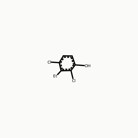 CCc1c(Cl)ccc(O)c1Cl